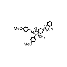 COc1ccc(CCN2C(=O)C3(CCN(C(=NC#N)Oc4ccccc4)CC3)N(C)C2c2ccc(OC)cc2)cc1